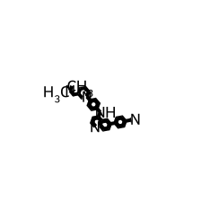 CN(C)CC1CCCN(c2ccc(Nc3ccnc4ccc(-c5ccc(C#N)cc5)cc34)cc2)C1